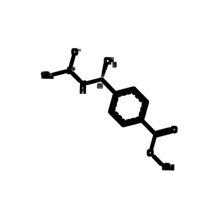 CC(C)(C)OC(=O)c1ccc([C@H](N[S+]([O-])C(C)(C)C)C(F)(F)F)cc1